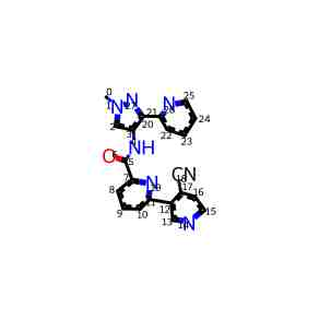 Cn1cc(NC(=O)c2cccc(-c3cnccc3C#N)n2)c(-c2ccccn2)n1